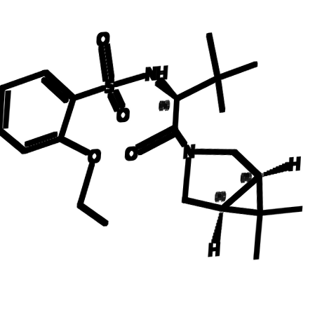 CCOc1ccccc1S(=O)(=O)N[C@H](C(=O)N1C[C@@H]2[C@H](C1)C2(C)C)C(C)(C)C